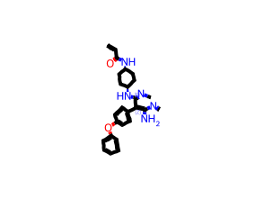 C=CC(=O)N[C@H]1CC[C@H](NC(=N/C)/C(=C(/N)N=C)c2ccc(Oc3ccccc3)cc2)CC1